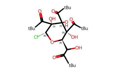 CC(C)(C)C(=O)C(O)[C@H]1O[C@H](Cl)[C@@](O)(C(=O)C(C)(C)C)[C@](O)(C(=O)C(C)(C)C)[C@@]1(O)C(=O)C(C)(C)C